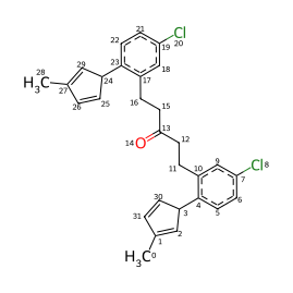 CC1=CC(c2ccc(Cl)cc2CCC(=O)CCc2cc(Cl)ccc2C2C=CC(C)=C2)C=C1